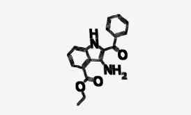 CCOC(=O)c1cccc2[nH]c(C(=O)c3ccccc3)c(N)c12